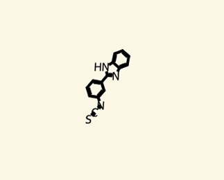 S=C=Nc1cccc(-c2nc3ccccc3[nH]2)c1